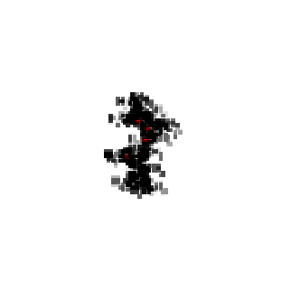 Cc1cc2c3c(c1)N(c1ccc(C(C)(C)CCC4(C)CCC(C)(C)c5cc6c7c(sc6cc54)B4c5ccc(C(C)(C)C)cc5N(c5ccc(C(C)(C)C)cc5C)c5cc(C)cc(c54)N7c4ccc(C(C)(C)C)cc4)cc1)c1c(sc4cc5c(cc14)C(C)(C)CCC5(C)C)B3c1ccc(C(C)(C)C)cc1N2c1ccc(C(C)(C)C)cc1